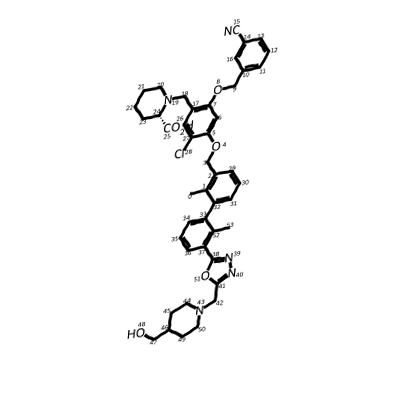 Cc1c(COc2cc(OCc3cccc(C#N)c3)c(CN3CCCC[C@H]3C(=O)O)cc2Cl)cccc1-c1cccc(-c2nnc(CN3CCC(CO)CC3)o2)c1C